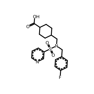 O=C(O)C1CCC(CN(Cc2ccc(F)cc2)S(=O)(=O)c2cccnc2)CC1